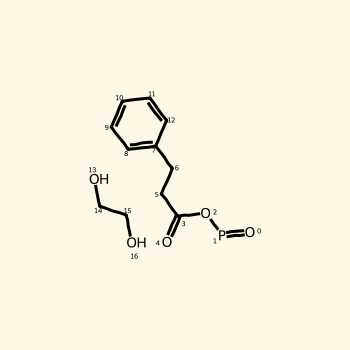 O=POC(=O)CCc1ccccc1.OCCO